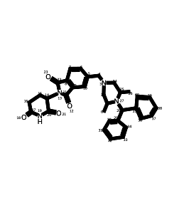 CC1CN(Cc2ccc3c(c2)C(=O)N(C2CCC(=O)NC2=O)C3=O)CC(C)N1C(c1ccccc1)c1ccccc1